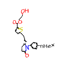 CCCCCCc1ccc(N2C(=O)CC[C@@H]2C=CCc2ccc(C(=O)OCCO)s2)cc1